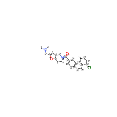 CN(C)Cc1cc2c(o1)CCN(C(=O)c1ccc(/C=C\c3ccccc3Cl)cc1)C2